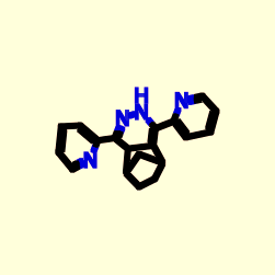 c1ccc(C2=NNC(c3ccccn3)=C3C4CCC(C4)C23)nc1